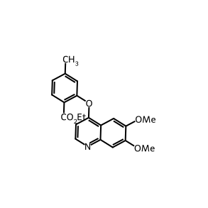 CCOC(=O)c1ccc(C)cc1Oc1ccnc2cc(OC)c(OC)cc12